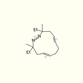 CCC1(C)C/C=C/CC/C=C/CC(C)(CC)/N=N/1